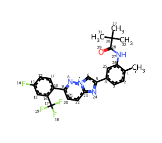 Cc1ccc(-c2cn3nc(-c4ccc(F)cc4C(F)(F)F)ccc3n2)cc1NC(=O)C(C)(C)C